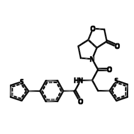 O=C(NC(Cc1cccs1)C(=O)N1CCC2OCC(=O)C21)c1ccc(-c2cccs2)cc1